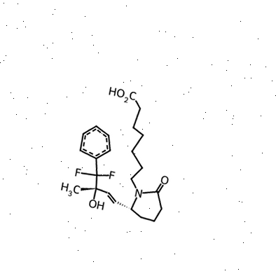 C[C@](O)(C=C[C@H]1CCCC(=O)N1CCCCCCC(=O)O)C(F)(F)c1ccccc1